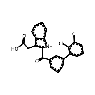 O=C(O)Cc1c(C(=O)c2cccc(-c3cccc(Cl)c3Cl)c2)[nH]c2ccccc12